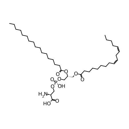 CCCC/C=C\C/C=C\CCCCCCCC(=O)OC[C@H](COP(=O)(O)OC[C@H](N)C(=O)O)OC(=O)CCCCCCCCCCCCCCCC